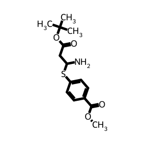 COC(=O)c1ccc(SC(N)CC(=O)OC(C)(C)C)cc1